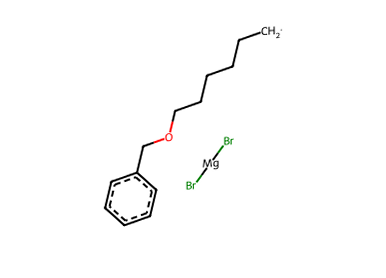 [Br][Mg][Br].[CH2]CCCCCOCc1ccccc1